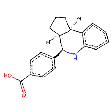 O=C(O)c1ccc([C@@H]2Nc3ccccc3[C@@H]3CCC[C@@H]32)cc1